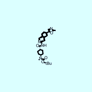 Cc1ncc(-c2ccc3cnc(NC(=O)[C@H]4CC[C@H](N(C)C(=O)OC(C)(C)C)CC4)cc3c2)o1